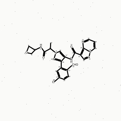 CC(C(=O)NC1COC1)n1cc(NC(=O)c2cnn3cccnc23)c(-c2cc(Cl)ccc2C=O)n1